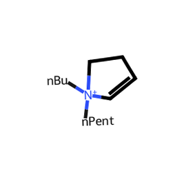 CCCCC[N+]1(CCCC)C=CCC1